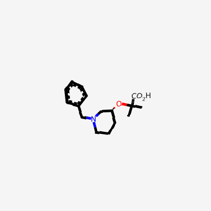 CC(C)(O[C@@H]1CCCN(Cc2ccccc2)C1)C(=O)O